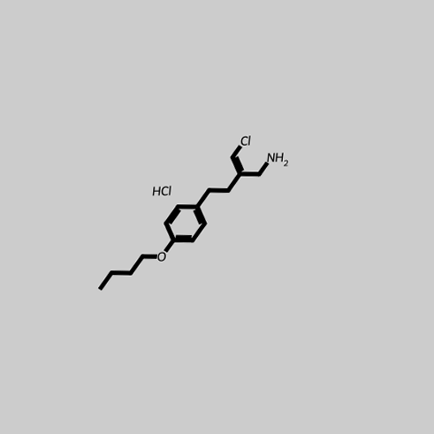 CCCCOc1ccc(CCC(=CCl)CN)cc1.Cl